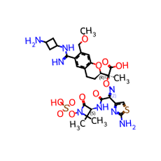 COCc1cc2c(cc1C(=N)NC1CC(N)C1)CC[C@H]([C@](C)(O/N=C(\C(=O)N[C@@H]1C(=O)N(OS(=O)(=O)O)C1(C)C)c1csc(N)n1)C(=O)O)O2